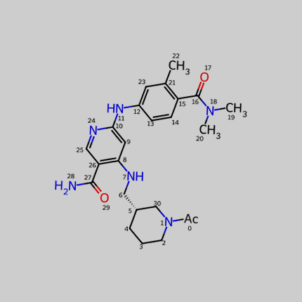 CC(=O)N1CCC[C@H](CNc2cc(Nc3ccc(C(=O)N(C)C)c(C)c3)ncc2C(N)=O)C1